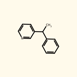 C[C](c1ccccc1)c1cccnc1